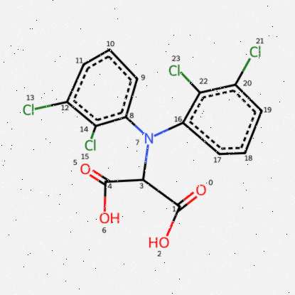 O=C(O)C(C(=O)O)N(c1cccc(Cl)c1Cl)c1cccc(Cl)c1Cl